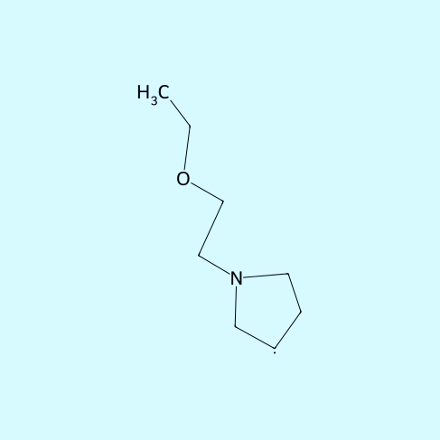 CCOCCN1C[CH]CC1